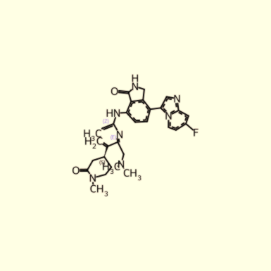 C=C(/C(CN(C)C)=N\C(=C/C)Nc1ccc(-c2cnc3cc(F)ccn23)c2c1C(=O)NC2)[C@H]1CCN(C)C(=O)C1